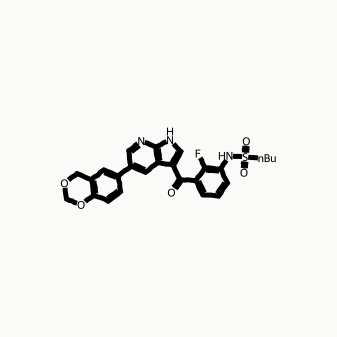 CCCCS(=O)(=O)Nc1cccc(C(=O)c2c[nH]c3ncc(-c4ccc5c(c4)COCO5)cc23)c1F